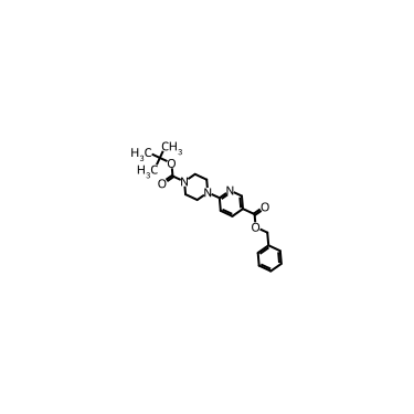 CC(C)(C)OC(=O)N1CCN(c2ccc(C(=O)OCc3ccccc3)cn2)CC1